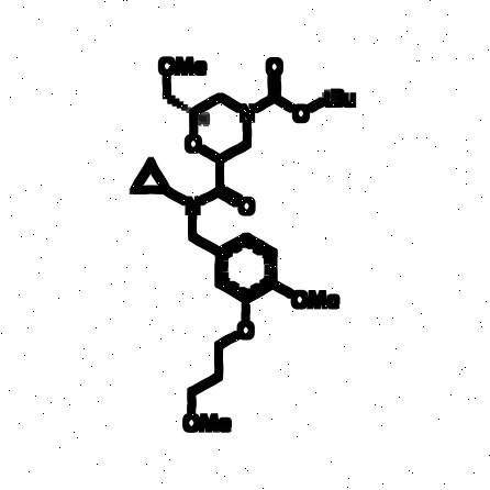 COCCCOc1cc(CN(C(=O)C2CN(C(=O)OC(C)(C)C)C[C@@H](COC)O2)C2CC2)ccc1OC